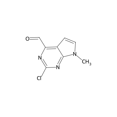 Cn1ccc2c(C=O)nc(Cl)nc21